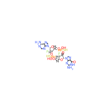 Nc1nc2c(ncn2[C@@H]2O[C@@H]3CO[PH](O)(S)O[C@H]4[C@H](F)[C@H](n5cnc6c(N)ncnc65)O[C@@H]4CO[PH](O)(S)O[C@@H]2[C@@H]3F)c(=O)[nH]1